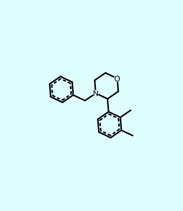 Cc1cccc(C2COCCN2Cc2ccccc2)c1C